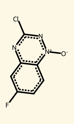 [O-][n+]1nc(Cl)nc2cc(F)ccc21